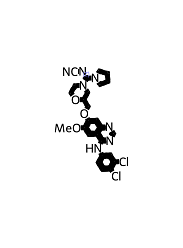 COc1cc2c(Nc3ccc(Cl)c(Cl)c3)ncnc2cc1OCC1CN(/C(=N\C#N)N2CCCC2)CCO1